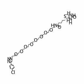 O=C(CCCC[C@@H]1SC[C@@H]2NC(=O)N[C@@H]21)NCCOCCOCCOCCOCCOCCOCCOCCOCCn1cc(-c2ccc(Cl)cc2)nn1